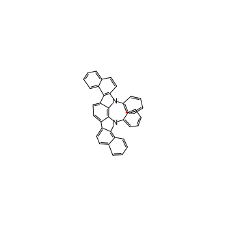 c1ccc(-n2c3ccc4ccccc4c3c3ccc4c5ccc6ccccc6c5n(-c5ccccc5)c4c32)cc1